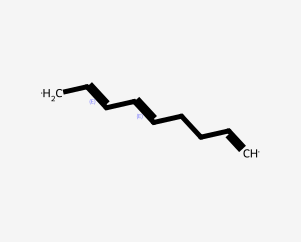 [CH]=CCC/C=C/C=C/[CH2]